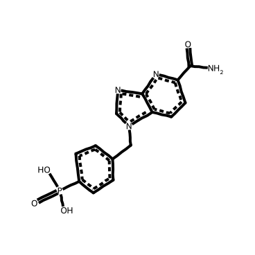 NC(=O)c1ccc2c(ncn2Cc2ccc(P(=O)(O)O)cc2)n1